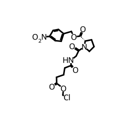 O=C(CCCC(=O)OCCl)NCC(=O)N1CCC[C@H]1C(=O)OCc1ccc([N+](=O)[O-])cc1